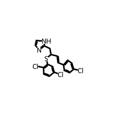 Clc1ccc(C=CC(Cc2ncc[nH]2)Sc2cc(Cl)ccc2Cl)cc1